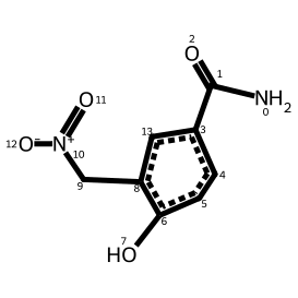 NC(=O)c1ccc(O)c(C[N+](=O)[O-])c1